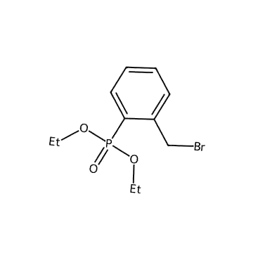 CCOP(=O)(OCC)c1ccccc1CBr